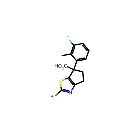 Cc1c(F)cccc1C1(C(=O)O)CCc2nc(Br)sc21